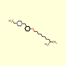 CCN1CCN(Cc2cccc(OCCCCCCCCC(C)C)c2)CC1